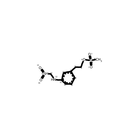 CS(=O)(=O)OCCc1cccc(NC[SH](=O)=O)c1